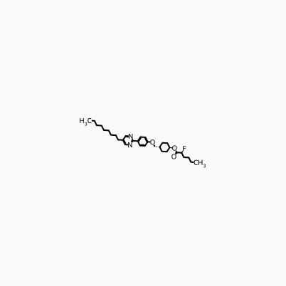 CCCCCCCCCc1cnc(-c2ccc(OC[C@H]3CC[C@H](OC(=O)[C@@H](F)CCCC)CC3)cc2)nc1